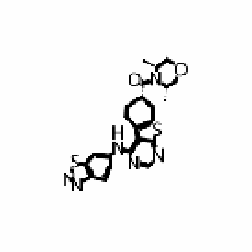 C[C@H]1COC[C@H](C)N1C(=O)[C@H]1CCc2c(sc3ncnc(Nc4ccc5nnsc5c4)c23)C1